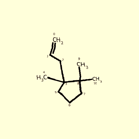 C=CCC1(C)CCCC1(C)C